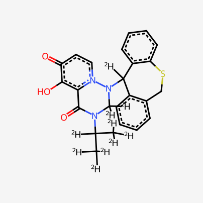 [2H]C1(N2n3ccc(=O)c(O)c3C(=O)N(C([2H])(C([2H])([2H])[2H])C([2H])([2H])[2H])C2([2H])[2H])c2ccccc2CSc2ccccc21